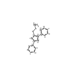 NCCc1nc(-c2ccccc2)nn1-c1ccccn1